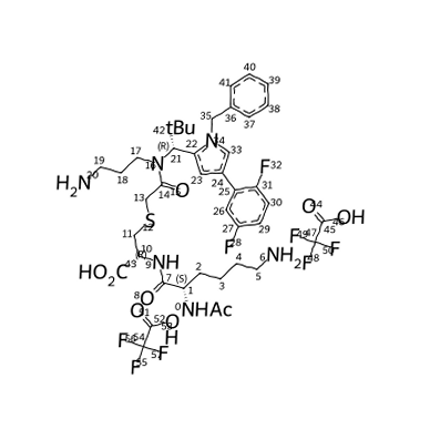 CC(=O)N[C@@H](CCCCN)C(=O)N[C@@H](CSCC(=O)N(CCCN)[C@@H](c1cc(-c2cc(F)ccc2F)cn1Cc1ccccc1)C(C)(C)C)C(=O)O.O=C(O)C(F)(F)F.O=C(O)C(F)(F)F